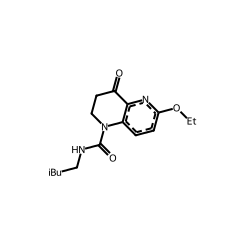 CCOc1ccc2c(n1)C(=O)CCN2C(=O)NCC(C)CC